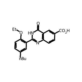 CCCCc1ccc(OCC)c(-c2nc3ccc(C(=O)O)cc3c(=O)[nH]2)c1